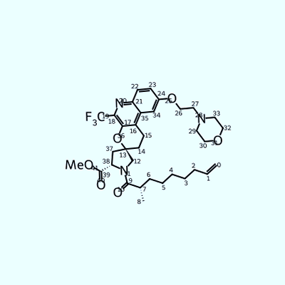 C=CCCCCC[C@H](C)C(=O)N1C[C@@]2(CCc3c(c(C(F)(F)F)nc4ccc(OCCN5CCOCC5)cc34)O2)C[C@H]1C(=O)OC